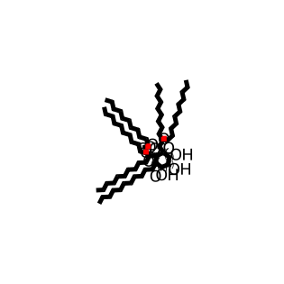 CCCCCCCCCCC(=O)O[C@@]1(C(=O)CCCCCCCCCC)[C@@](OC(=O)CCCCCCCCCC)(C(=O)CCCCCCCCCC)[C@@H](O)[C@H](O)[C@@H](O)[C@@]1(OC(=O)CCCCCCCCCC)C(=O)CCCCCCCCCC